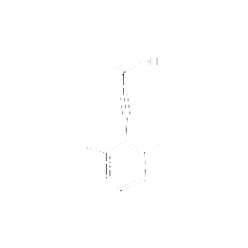 O=C(O)C#Cc1c(Cl)cccc1Cl